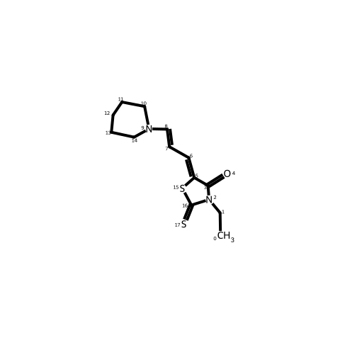 CCN1C(=O)C(=CC=CN2CCCCC2)SC1=S